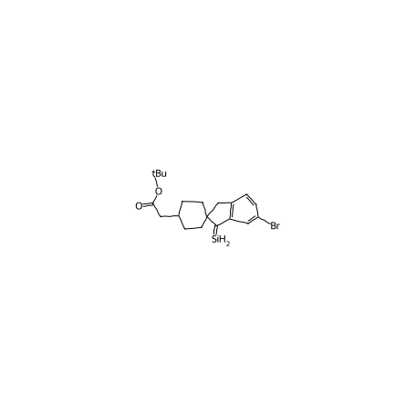 CC(C)(C)OC(=O)CC1CCC2(CC1)Cc1ccc(Br)cc1C2=[SiH2]